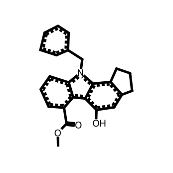 COC(=O)c1cccc2c1c1c(O)cc3c(c1n2Cc1ccccc1)CCC3